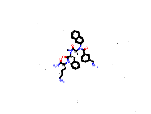 C[C@@H](C(=O)N(C)[C@@H](Cc1ccccc1)C(=O)N[C@@H](CCCCN)C(N)=O)N(C(=O)c1cccc(CN)c1)c1ccc2ccccc2c1